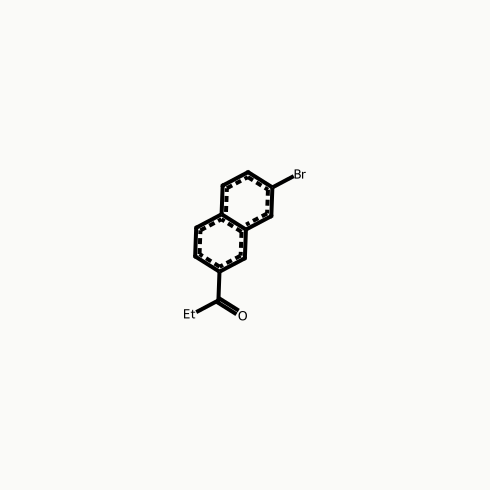 CCC(=O)c1ccc2ccc(Br)cc2c1